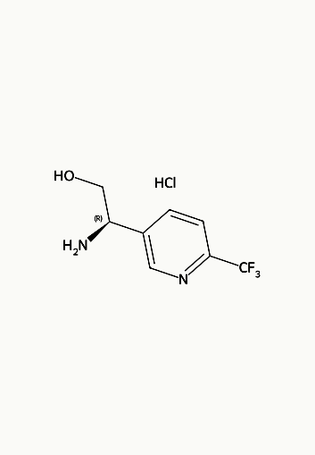 Cl.N[C@@H](CO)c1ccc(C(F)(F)F)nc1